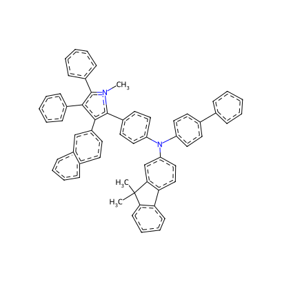 Cn1c(-c2ccccc2)c(-c2ccccc2)c(-c2ccc3ccccc3c2)c1-c1ccc(N(c2ccc(-c3ccccc3)cc2)c2ccc3c(c2)C(C)(C)c2ccccc2-3)cc1